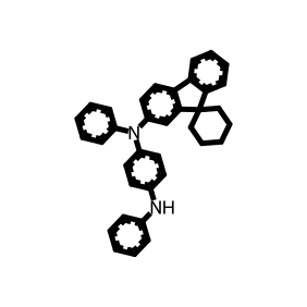 c1ccc(Nc2ccc(N(c3ccccc3)c3ccc4c(c3)C3(CCCCC3)c3ccccc3-4)cc2)cc1